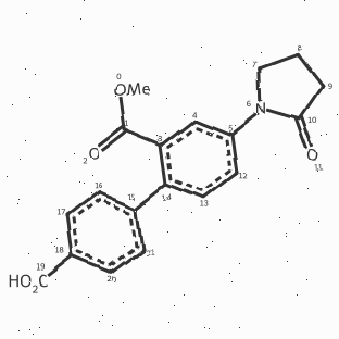 COC(=O)c1cc(N2CCCC2=O)ccc1-c1ccc(C(=O)O)cc1